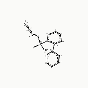 C[C@@](O)(CN=[N+]=[N-])c1ccccc1-c1ccccc1